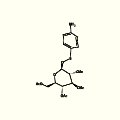 CC(=O)OC[C@H]1O[C@@H](OSc2ccc(N)cc2)[C@H](OC(C)=O)[C@@H](OC(C)=O)[C@@H]1OC(C)=O